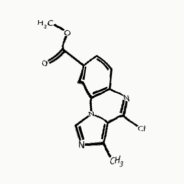 COC(=O)c1ccc2nc(Cl)c3c(C)ncn3c2c1